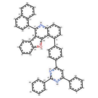 c1ccc(-c2cc(-c3ccc(-c4cccc5nc(-c6cccc7ccccc67)c6c7ccccc7oc6c45)cc3)nc(-c3ccccc3)n2)cc1